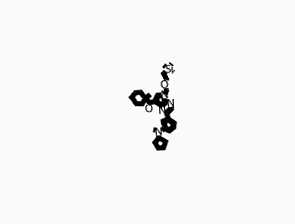 CN(c1cccc(-c2cnc3c(n2)c(C(=O)C2(C)CCCCC2)cn3COCC[Si](C)(C)C)c1)C1CCCC1